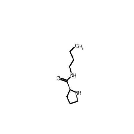 CCCCNC(=O)[C@@H]1CCCN1